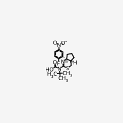 CC(C)(C)N(C(=O)O)C1=N[C@@]2(c3cc([N+](=O)[O-])ccc3F)CCC[C@H]2CS1